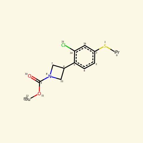 CC(C)Sc1ccc(C2CN(C(=O)OC(C)(C)C)C2)c(Cl)c1